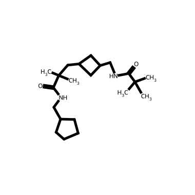 CC(C)(C)C(=O)NCC1CC(CC(C)(C)C(=O)NCC2CCCC2)C1